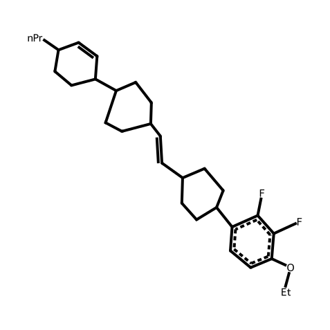 CCCC1C=CC(C2CCC(/C=C/C3CCC(c4ccc(OCC)c(F)c4F)CC3)CC2)CC1